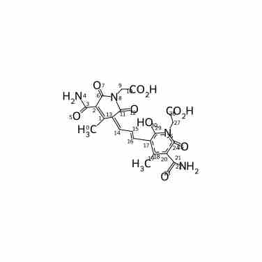 CC1=C(C(N)=O)C(=O)N(CC(=O)O)C(=O)/C1=C\C=C\c1c(C)c(C(N)=O)c(=O)n(CC(=O)O)c1O